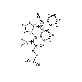 O=C(O)CCC(=O)N(C1CC1)C1c2ccccc2N(C(=O)c2ccccc2)C2CCCC21